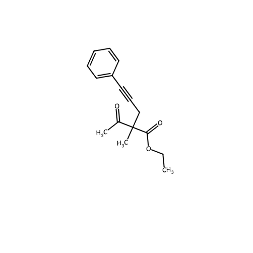 CCOC(=O)C(C)(CC#Cc1ccccc1)C(C)=O